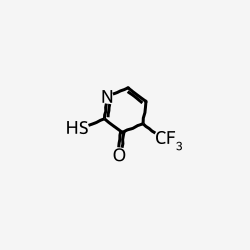 O=C1C(S)=NC=CC1C(F)(F)F